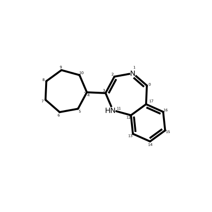 C1=NC=C([C]2CCCCCC2)Nc2ccccc21